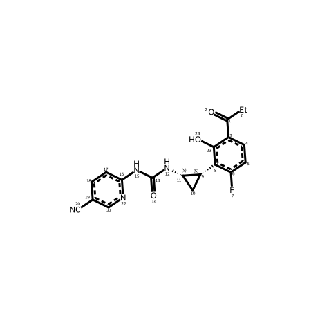 CCC(=O)c1ccc(F)c([C@@H]2C[C@@H]2NC(=O)Nc2ccc(C#N)cn2)c1O